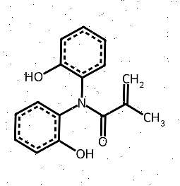 C=C(C)C(=O)N(c1ccccc1O)c1ccccc1O